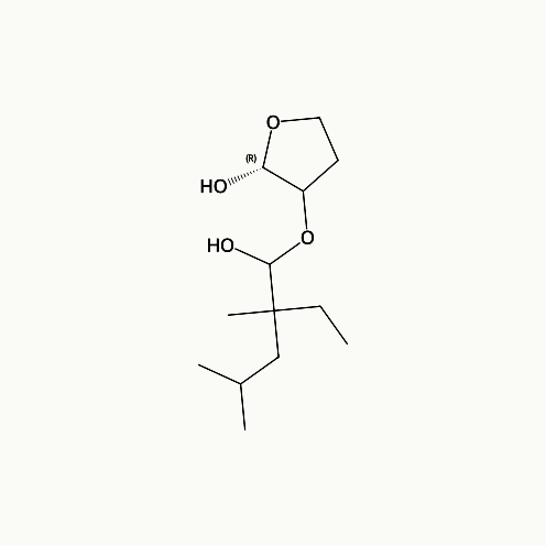 CCC(C)(CC(C)C)C(O)OC1CCO[C@H]1O